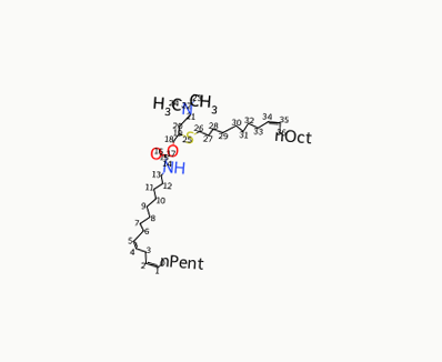 CCCCC/C=C\C/C=C\CCCCCCCCNC(=O)OCC(CCN(C)C)SCCCCCCCC/C=C\CCCCCCCC